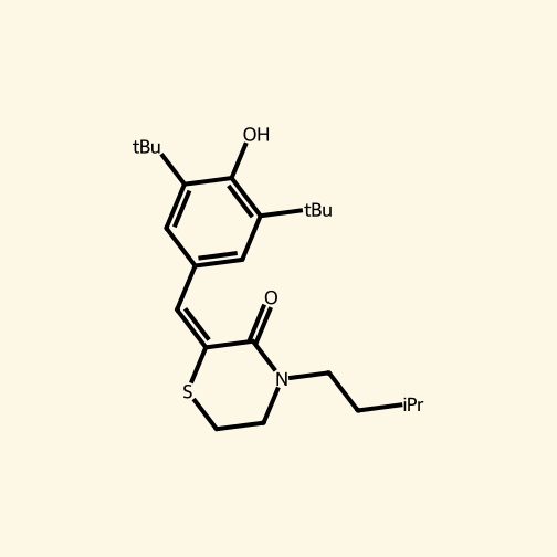 CC(C)CCN1CCS/C(=C/c2cc(C(C)(C)C)c(O)c(C(C)(C)C)c2)C1=O